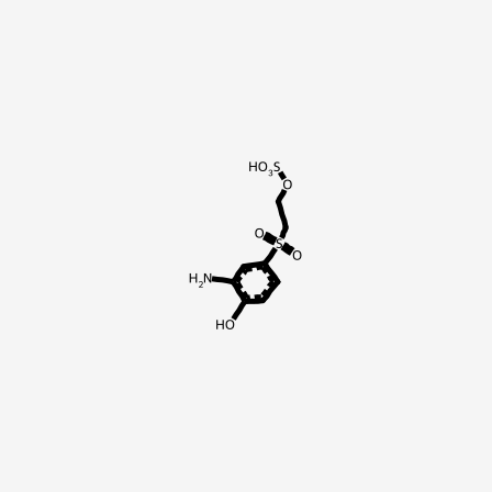 Nc1cc(S(=O)(=O)CCOS(=O)(=O)O)ccc1O